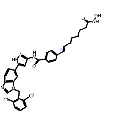 O=C(CCCCC/C=C/c1ccc(C(=O)Nc2cc(-c3ccc4ncn(Cc5c(Cl)cccc5Cl)c4c3)[nH]n2)cc1)NO